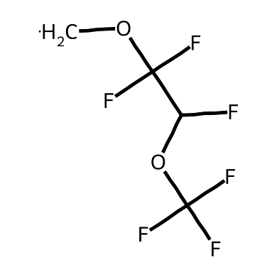 [CH2]OC(F)(F)C(F)OC(F)(F)F